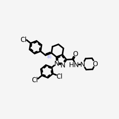 O=C(NN1CCOCC1)c1nn(-c2ccc(Cl)cc2Cl)c2c1CCC/C2=C\c1ccc(Cl)cc1